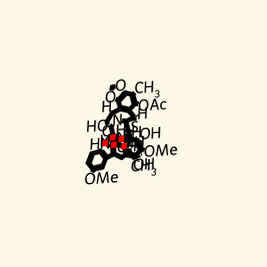 COc1ccc2[nH]c3c(c2c1)C[C@H](CO)N[C@]31CS[C@@H]2c3c(OC(C)=O)c(C)c4c(c3[C@H](COC1=O)N1[C@@H]2[C@@H]2c3c(cc(C)c(OC)c3O)C[C@@H]([C@@H]1O)N2C)OCO4